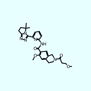 COCCC(=O)N1CCc2cc(OC)c(C(=O)Nc3cccc(-c4nnc5n4C(C)(C)CC5)n3)cc2C1